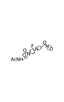 CC(=O)NC[C@H]1CN(c2ccc(N3CC4C(C3)C4C(=O)N3CCOCC3)c(F)c2)C(=O)O1